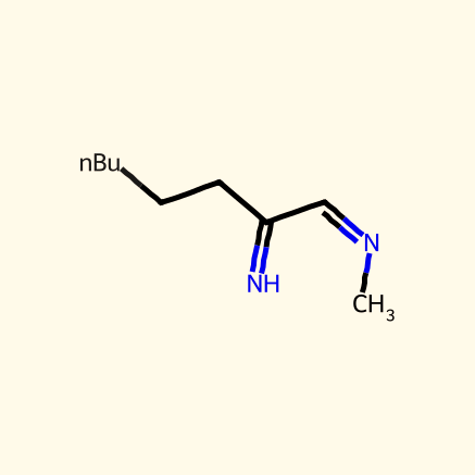 CCCCCCC(=N)/C=N\C